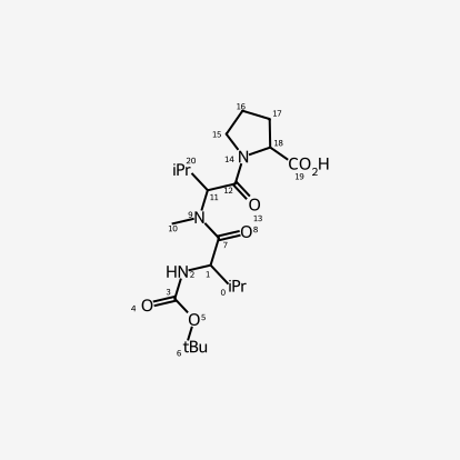 CC(C)C(NC(=O)OC(C)(C)C)C(=O)N(C)C(C(=O)N1CCCC1C(=O)O)C(C)C